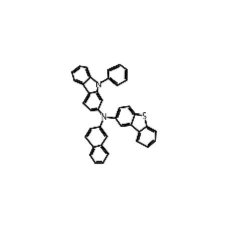 c1ccc(-n2c3ccccc3c3ccc(N(c4ccc5ccccc5c4)c4ccc5sc6ccccc6c5c4)cc32)cc1